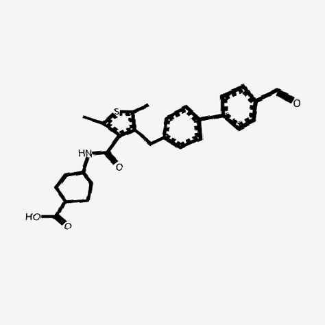 Cc1sc(C)c(C(=O)NC2CCC(C(=O)O)CC2)c1Cc1ccc(-c2ccc(C=O)cc2)cc1